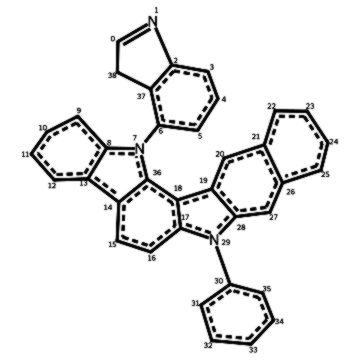 C1=Nc2cccc(-n3c4ccccc4c4ccc5c(c6cc7ccccc7cc6n5-c5ccccc5)c43)c2C1